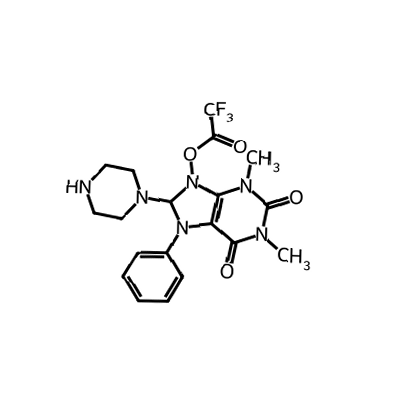 Cn1c2c(c(=O)n(C)c1=O)N(c1ccccc1)C(N1CCNCC1)N2OC(=O)C(F)(F)F